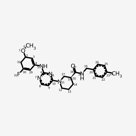 COC1C=C(Nc2nccc(N3CCC[C@H](C(=O)NCc4ccc(C)cc4)C3)n2)C=C(F)C1